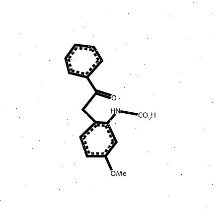 COc1ccc(CC(=O)c2ccccc2)c(NC(=O)O)c1